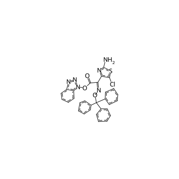 Nc1nc(C(=NOC(c2ccccc2)(c2ccccc2)c2ccccc2)C(=O)On2nnc3ccccc32)c(Cl)s1